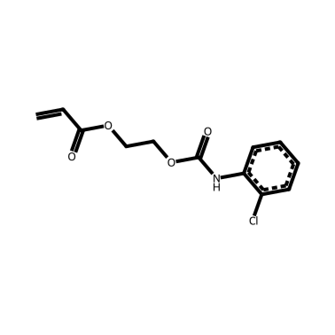 C=CC(=O)OCCOC(=O)Nc1ccccc1Cl